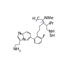 CN/C(C)=C(/CCCc1c(F)cccc1-c1ccc2ncc(CCN)n2c1)C(CNS)C(C)C